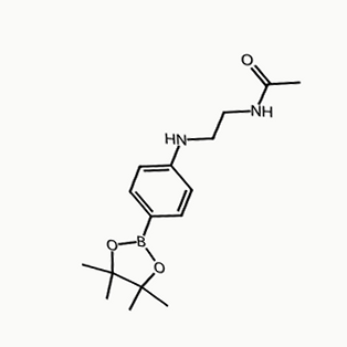 CC(=O)NCCNc1ccc(B2OC(C)(C)C(C)(C)O2)cc1